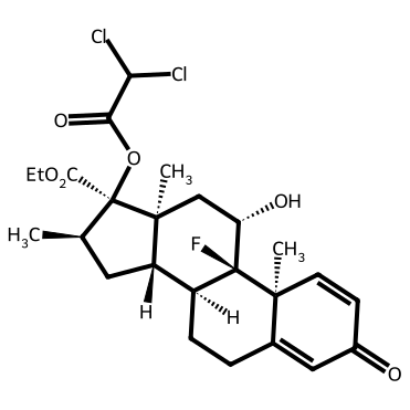 CCOC(=O)[C@@]1(OC(=O)C(Cl)Cl)[C@H](C)C[C@H]2[C@@H]3CCC4=CC(=O)C=C[C@]4(C)[C@@]3(F)[C@@H](O)C[C@@]21C